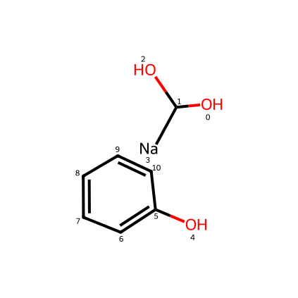 O[CH](O)[Na].Oc1ccccc1